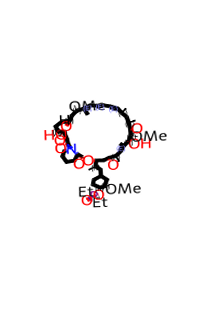 CCP(=O)(CC)O[C@@H]1CCC(C[C@@H](C)C2CC(=O)[C@H](C)/C=C(\C)[C@@H](O)[C@@H](OC)C(=O)[C@H](C)C[C@H](C)/C=C/C=C/C=C(\C)[C@@H](OC)C[C@@H]3CC[C@@H](C)[C@@](O)(O3)C(=O)C(=O)N3CCCCC3C(=O)O2)C[C@H]1OC